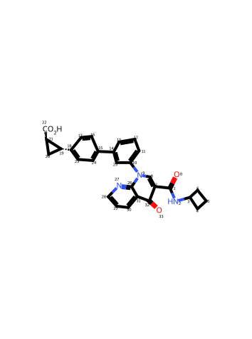 O=C(NC1CCC1)c1cn(-c2cccc(-c3ccc([C@@H]4C[C@H]4C(=O)O)cc3)c2)c2ncccc2c1=O